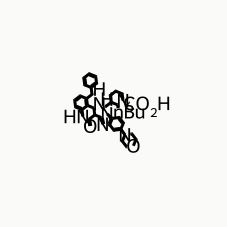 CCCCC1C(CNC2c3c(Cc4ccccc4)cccc3NC(=O)C2c2nc3cc(N4CCOCC4)ccc3[nH]2)CCCN1C(=O)O